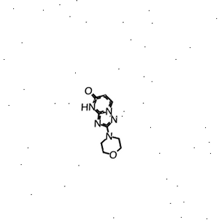 O=c1ccn2nc(N3CCOCC3)nc2[nH]1